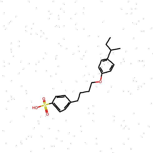 CCC(C)c1ccc(OCCCCc2ccc(S(=O)(=O)O)cc2)cc1